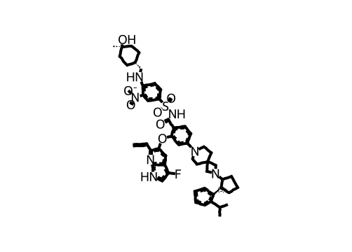 C=Cc1nc2[nH]cc(F)c2cc1Oc1cc(N2CCC3(CC2)CN(C2CCC[C@H]2c2ccccc2C(C)C)C3)ccc1C(=O)NS(=O)(=O)c1ccc(NC[C@H]2CC[C@](C)(O)CC2)c([N+](=O)[O-])c1